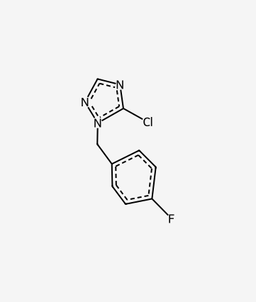 Fc1ccc(Cn2ncnc2Cl)cc1